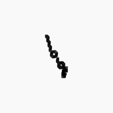 C=CCCCCC[C@H]1CC[C@H](CCc2ccc(N=C=S)cc2)CC1